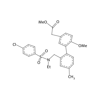 CCN(Cc1cc(C)ccc1-c1cc(CC(=O)OC)ccc1OC)S(=O)(=O)c1ccc(Cl)cc1